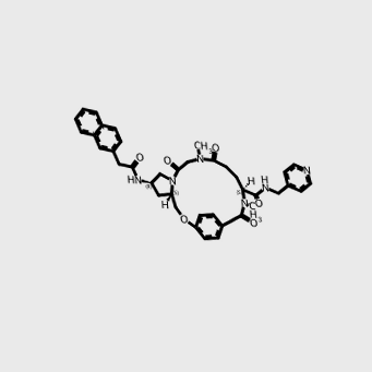 CN1CC(=O)N2C[C@H](NC(=O)Cc3ccc4ccccc4c3)C[C@H]2COc2ccc(cc2)C(=O)N(C)[C@H](C(=O)NCc2ccncc2)CCC1=O